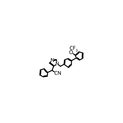 N#CC(c1ccccc1)c1cncn1Cc1ccc(-c2ccccc2OC(F)(F)F)cc1